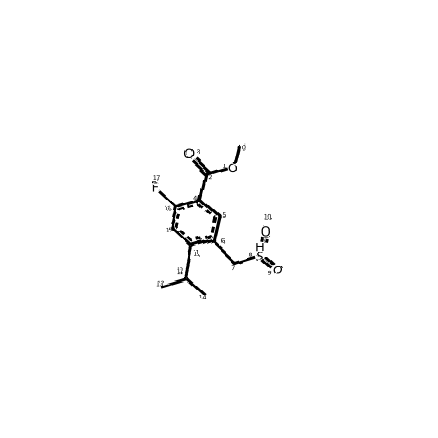 COC(=O)c1cc(C[SH](=O)=O)c(C(C)C)cc1F